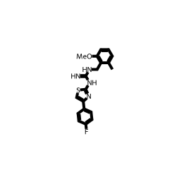 COc1cccc(C)c1CNC(=N)Nc1nc(-c2ccc(F)cc2)cs1